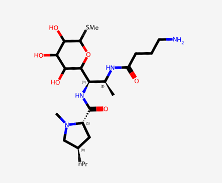 CCC[C@@H]1C[C@@H](C(=O)N[C@@H](C2OC(SC)C(O)C(O)C2O)[C@H](C)NC(=O)CCCN)N(C)C1